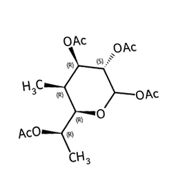 CC(=O)OC1O[C@@H]([C@@H](C)OC(C)=O)[C@@H](C)[C@@H](OC(C)=O)[C@@H]1OC(C)=O